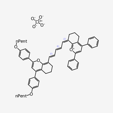 CCCCCOc1ccc(C2=CC(c3ccc(OCCCCC)cc3)=C3CCCC(/C=C/C=C/C=C4/CCCc5c(-c6ccccc6)cc(-c6ccccc6)[o+]c54)=C3O2)cc1.[O-][Cl+3]([O-])([O-])[O-]